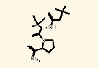 C=C(CC(C)(C)C)N[C@H](C(=C)N1CCCC1C(=C)N)C(C)(C)C